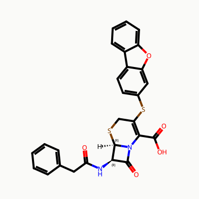 O=C(Cc1ccccc1)N[C@@H]1C(=O)N2C(C(=O)O)=C(Sc3ccc4c(c3)oc3ccccc34)CS[C@H]12